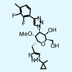 CO[C@@H]1[C@@H](n2cc(-c3ccc(C)c(F)c3F)nn2)[C@@H](O)[C@@H](CO)O[C@@H]1Cc1cn(C2(C)CC2)nn1